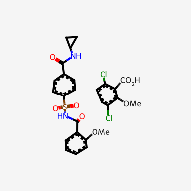 COc1c(Cl)ccc(Cl)c1C(=O)O.COc1ccccc1C(=O)NS(=O)(=O)c1ccc(C(=O)NC2CC2)cc1